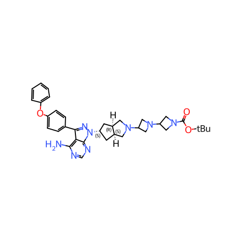 CC(C)(C)OC(=O)N1CC(N2CC(N3C[C@H]4C[C@H](n5nc(-c6ccc(Oc7ccccc7)cc6)c6c(N)ncnc65)C[C@H]4C3)C2)C1